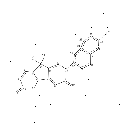 C=C/C=C\C1C(C)C(=C/C=C)/C(=C\Cc2ccc3cc(I)ccc3c2)C1(C)C